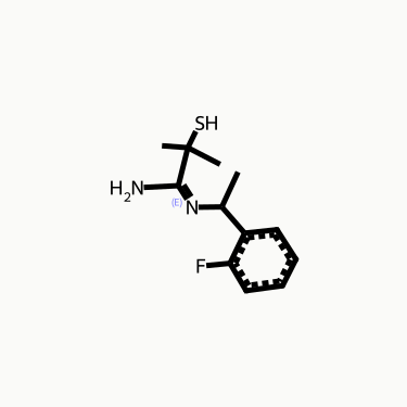 CC(/N=C(/N)C(C)(C)S)c1ccccc1F